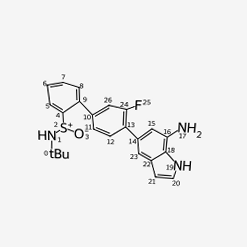 CC(C)(C)N[S+]([O-])c1ccccc1-c1ccc(-c2cc(N)c3[nH]ccc3c2)c(F)c1